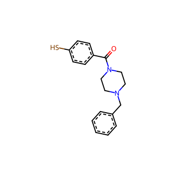 O=C(c1ccc(S)cc1)N1CCN(Cc2ccccc2)CC1